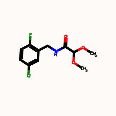 COC(OC)C(=O)NCc1cc(Cl)ccc1F